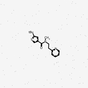 CN(CCc1ccccn1)C(=O)c1csc(C(C)(C)C)c1